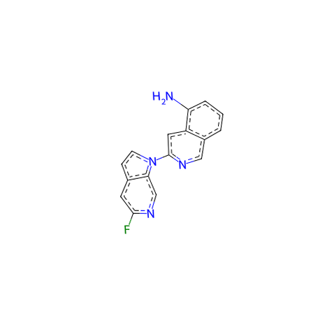 Nc1cccc2cnc(-n3ccc4cc(F)ncc43)cc12